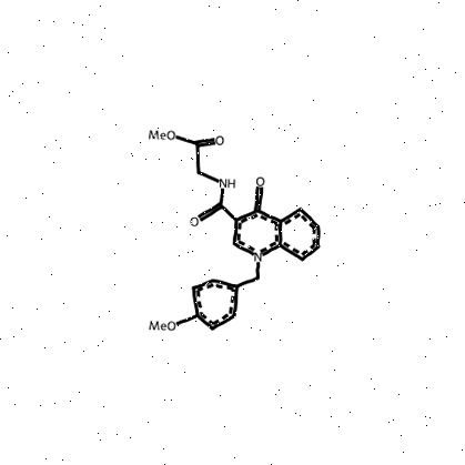 COC(=O)CNC(=O)c1cn(Cc2ccc(OC)cc2)c2ccccc2c1=O